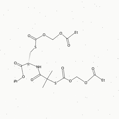 CCC(=O)OCOC(=O)SC[C@H](NC(=O)C(C)(C)SC(=O)OCOC(=O)CC)C(=O)OC(C)C